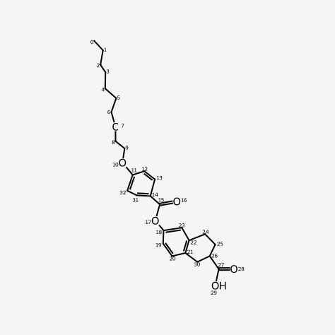 CCCCCCCCCCOc1ccc(C(=O)Oc2ccc3c(c2)CCC(C(=O)O)C3)cc1